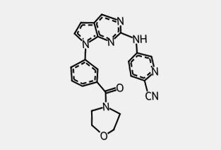 N#Cc1ccc(Nc2ncc3ccn(-c4cccc(C(=O)N5CCOCC5)c4)c3n2)cn1